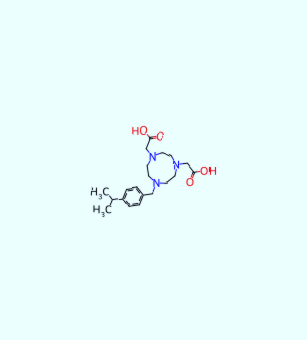 CC(C)c1ccc(CN2CCN(CC(=O)O)CCN(CC(=O)O)CC2)cc1